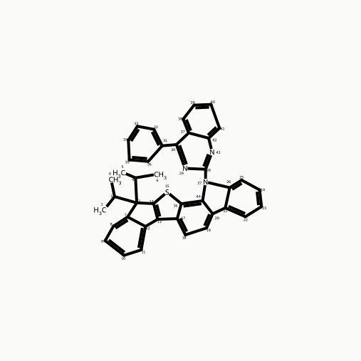 CC(C)C1(C(C)C)c2ccccc2-c2c1sc1c2ccc2c3ccccc3n(-c3nc(-c4ccccc4)c4ccccc4n3)c21